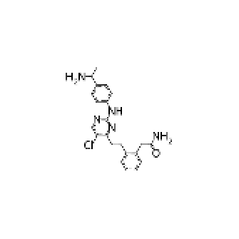 CC(N)c1ccc(Nc2ncc(Cl)c(CCc3ccccc3CC(N)=O)n2)cc1